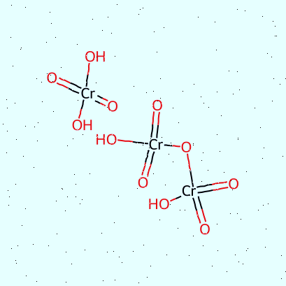 [O]=[Cr](=[O])([OH])[OH].[O]=[Cr](=[O])([OH])[O][Cr](=[O])(=[O])[OH]